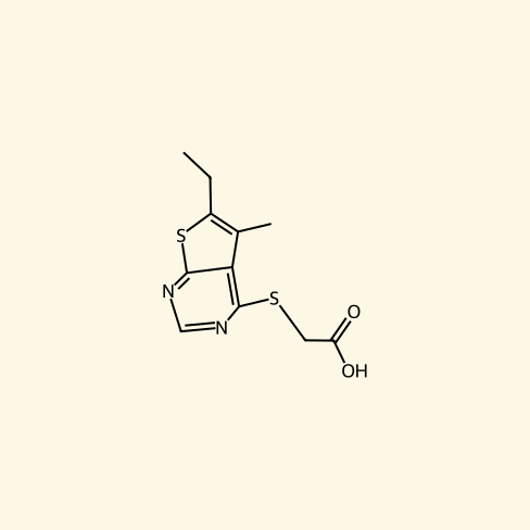 CCc1sc2ncnc(SCC(=O)O)c2c1C